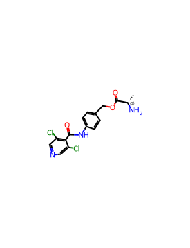 C[C@H](N)C(=O)OCc1ccc(NC(=O)c2c(Cl)cncc2Cl)cc1